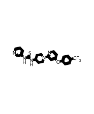 FC(F)(F)c1ccc(Oc2ccnc(N3CCC(NC(=S)Nc4cccnc4)CC3)c2)cc1